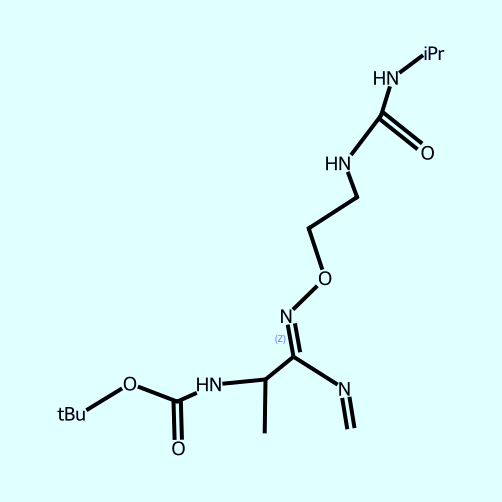 C=N/C(=N\OCCNC(=O)NC(C)C)C(C)NC(=O)OC(C)(C)C